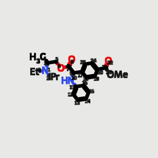 CCN(C(C)C)C(C)COC(=O)C(Nc1ccccc1)c1ccc(C(=O)OC)cc1